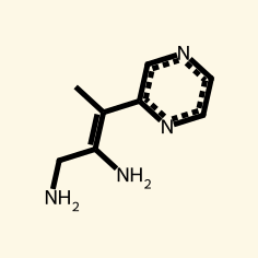 CC(=C(N)CN)c1cnccn1